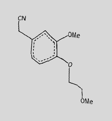 COCCOc1ccc(CC#N)cc1OC